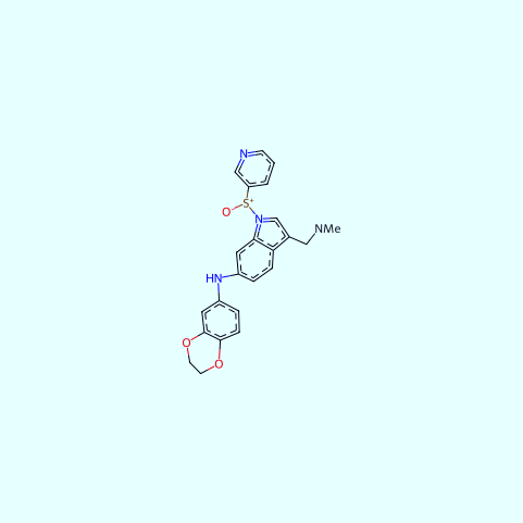 CNCc1cn([S+]([O-])c2cccnc2)c2cc(Nc3ccc4c(c3)OCCO4)ccc12